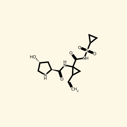 C=CC1CC1(NC(=O)[C@@H]1C[C@@H](O)CN1)C(=O)NS(=O)(=O)C1CC1